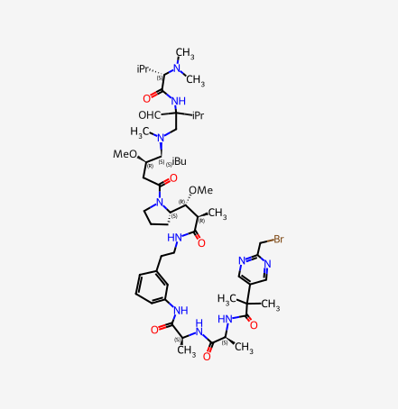 CC[C@H](C)[C@@H]([C@@H](CC(=O)N1CCC[C@H]1[C@H](OC)[C@@H](C)C(=O)NCCc1cccc(NC(=O)[C@H](C)NC(=O)[C@H](C)NC(=O)C(C)(C)c2cnc(CBr)nc2)c1)OC)N(C)CC(C=O)(NC(=O)[C@H](C(C)C)N(C)C)C(C)C